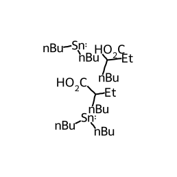 CCCCC(CC)C(=O)O.CCCCC(CC)C(=O)O.CCC[CH2][Sn][CH2]CCC.CCC[CH2][Sn][CH2]CCC